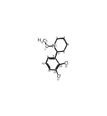 CON1CCCCC1c1cccc(Cl)c1Cl